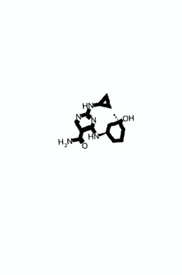 C[C@]1(O)CCC[C@@H](Nc2nc(NC3CC3)ncc2C(N)=O)C1